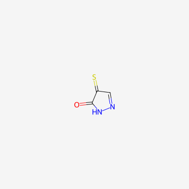 O=C1NN=CC1=S